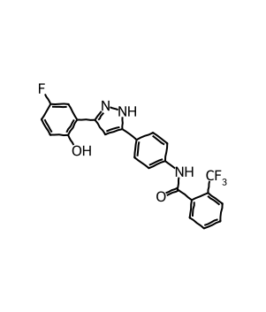 O=C(Nc1ccc(-c2cc(-c3cc(F)ccc3O)n[nH]2)cc1)c1ccccc1C(F)(F)F